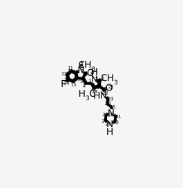 Cc1[nH]c(/C=C2\C(=O)N(C)c3ccc(F)cc32)c(C)c1C(=O)NCCCN1CCNCC1